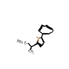 CC(C(=O)O)c1ccc(-c2ccccc2)s1